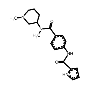 CN1CCCC(N(C)C(=O)c2ccc(NC(=O)c3ccc[nH]3)cc2)C1